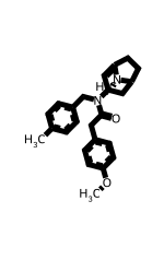 COc1ccc(CC(=O)N(Cc2ccc(C)cc2)C2C=C3CCC(C2)N3C)cc1